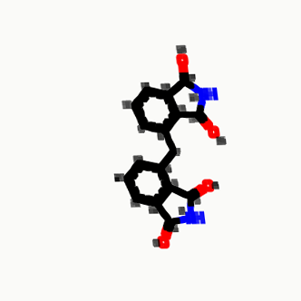 O=C1NC(=O)c2c(Cc3cccc4c3C(=O)NC4=O)cccc21